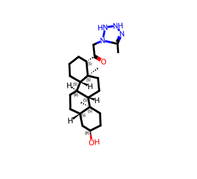 CC1=NNNN1CC(=O)[C@H]1CCC[C@H]2[C@@H]3CC[C@H]4C[C@H](O)CC[C@]4(C)[C@H]3CC[C@]12C